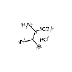 CCCC(CC)C(N)C(=O)O.Cl